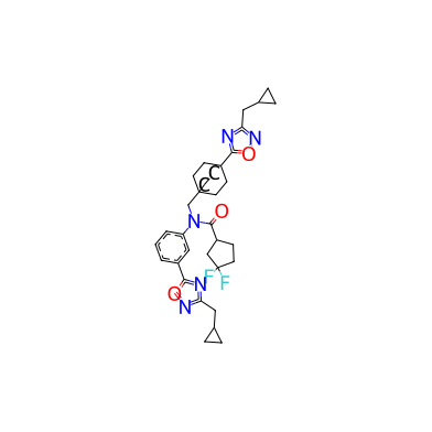 O=C(C1CCC(F)(F)C1)N(CC12CCC(c3nc(CC4CC4)no3)(CC1)CC2)c1cccc(-c2nc(CC3CC3)no2)c1